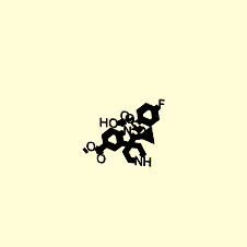 COC(=O)c1ccc2c(c1)C1(CCNCC1)C(C1CC1)[N+]2(C(=O)O)S(=O)(=O)c1ccc(F)cc1